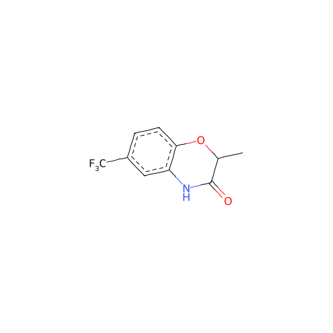 CC1Oc2ccc(C(F)(F)F)cc2NC1=O